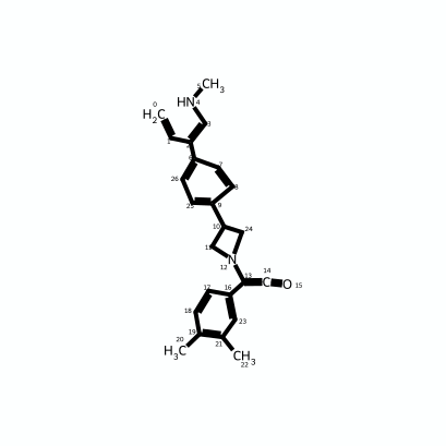 C=C/C(=C\NC)c1ccc(C2CN(C(=C=O)c3ccc(C)c(C)c3)C2)cc1